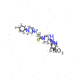 Cc1ccc(N2CCN(CCCC(=S)N3CCC(Nc4cc(C)c([N+](=O)[O-])cn4)CC3)CC2)cc1